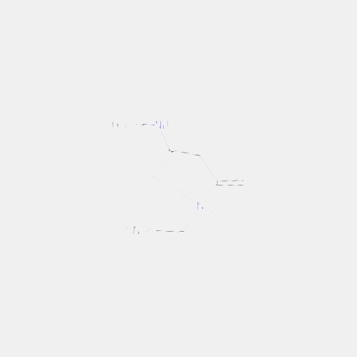 C=C(CC(=O)NCCCC)[N+](C)(C)CCCCCCCCCC.[Cl-]